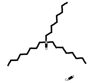 CCCCCCCCP(=O)(CCCCCCCC)CCCCCCCC.[S]=[Cd]